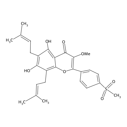 COc1c(-c2ccc(S(C)(=O)=O)cc2)oc2c(CC=C(C)C)c(O)c(CC=C(C)C)c(O)c2c1=O